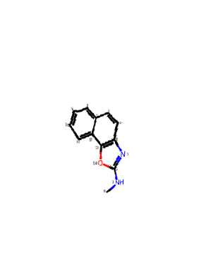 CNc1nc2ccc3ccccc3c2o1